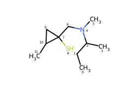 CCC(C)N(C)CC1(S)CC1C